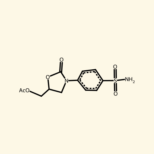 CC(=O)OCC1CN(c2ccc(S(N)(=O)=O)cc2)C(=O)O1